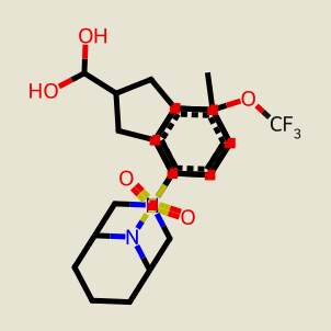 CC1(OC(F)(F)F)C=CC(N2CC3CCCC(C2)N3S(=O)(=O)c2cccc3c2CC(C(O)O)C3)=CC1